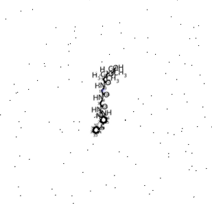 CC(C)(COC(C)(C)O)CC(=O)N/C=C/C(=O)NCCC(=O)Nc1nc2cc(Sc3ccccc3)ccc2[nH]1